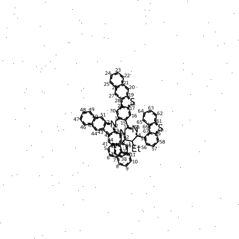 CCC1C(c2cccc3ccccc23)=NC(c2cc3sc4cc5ccccc5cc4c3cc2-n2c3cc4ccccc4cc3c3cc4ccccc4cc32)=NC1c1cccc2sc3ccccc3c12